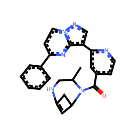 CC1CNC2=CC(C2)N1C(=O)c1ccnc(-c2cnn3ccc(-c4ccccc4)nc23)c1